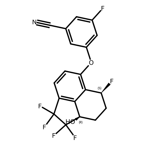 N#Cc1cc(F)cc(Oc2ccc3c4c2[C@@H](F)CC[C@]4(O)C(F)(F)C3(F)F)c1